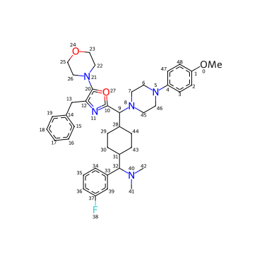 COc1ccc(N2CCN(C(c3nc(Cc4ccccc4)c(N4CCOCC4)o3)C3CCC(C(c4cccc(F)c4)N(C)C)CC3)CC2)cc1